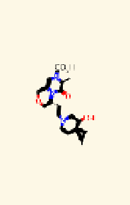 C[C@H]1C(=O)N2C(=CN1C(=O)O)COC[C@H]2CCN1CCC2(CC2)C(O)C1